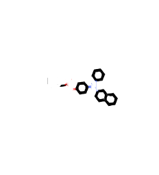 C=CC(=O)Oc1ccc(N(c2ccccc2)c2ccc3ccccc3c2)cc1